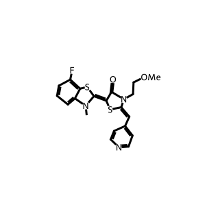 COCCn1c(=O)/c(=C2\Sc3c(F)cccc3N2C)s/c1=C\c1ccncc1